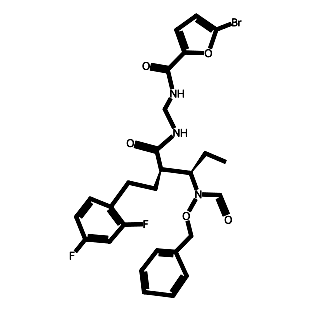 CC[C@H]([C@@H](CCc1ccc(F)cc1F)C(=O)NCNC(=O)c1ccc(Br)o1)N(C=O)OCc1ccccc1